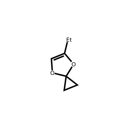 CCC1=COC2(CC2)O1